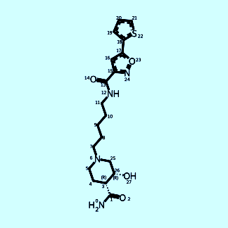 NC(=O)[C@@H]1CCN(CCCCCNC(=O)c2cc(-c3cccs3)on2)C[C@@H]1O